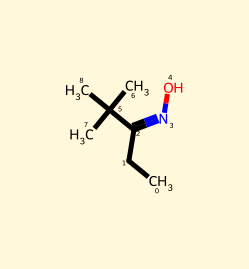 CCC(=NO)C(C)(C)C